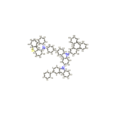 c1ccc(-c2ccc3c(c2)c2ccccc2n3-c2ccc3c(c2)c2cc(-c4ccc(N(c5ccccc5)c5cccc6sc7ccccc7c56)cc4)ccc2n3-c2ccc3c4ccccc4c4ccccc4c3c2)cc1